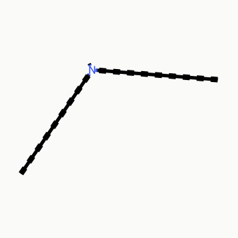 C#CC#CC#CC#CC#CC#CC#CC#CC#CN(C)C#CC#CC#CC#CC#CC#CC#CC#CC#C